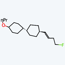 CCCOC1CCC([C@H]2CC[C@H](/C=C/CCF)CC2)CC1